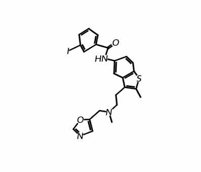 Cc1sc2ccc(NC(=O)c3cccc(I)c3)cc2c1CCN(C)Cc1cnco1